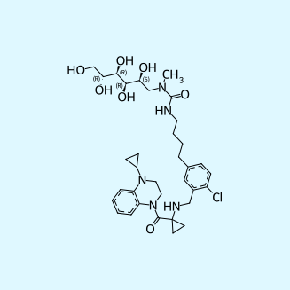 CN(C[C@H](O)[C@@H](O)[C@H](O)[C@H](O)CO)C(=O)NCCCCc1ccc(Cl)c(CNC2(C(=O)N3CCN(C4CC4)c4ccccc43)CC2)c1